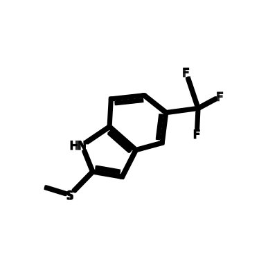 CSc1cc2cc(C(F)(F)F)ccc2[nH]1